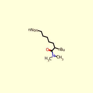 CCCCCCCCCCCCCCC(CCCC)C(=O)N(C)C